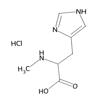 CNC(Cc1c[nH]cn1)C(=O)O.Cl